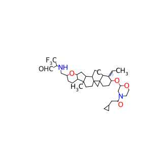 C/C=C1\C(OC2CN(C(=O)CC3CC3)CCO2)CCC23CC24CCC2(C)C5CCC(CNC(C=O)C(F)(F)F)OC5CC2C4CCC13